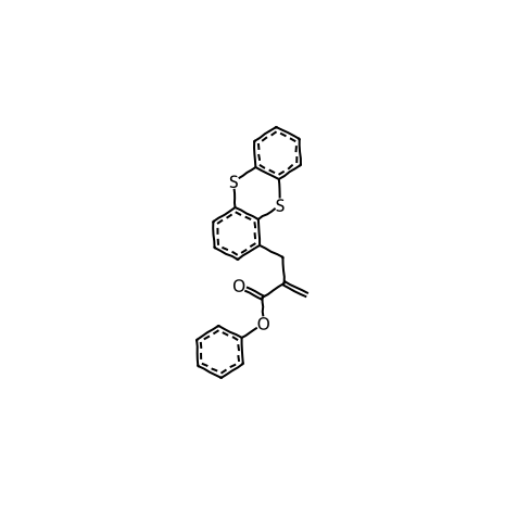 C=C(Cc1cccc2c1Sc1ccccc1S2)C(=O)Oc1ccccc1